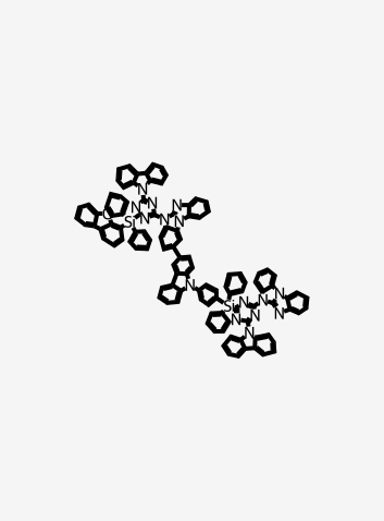 c1ccc([Si](c2ccccc2)(c2ccc(-n3c4ccccc4c4cc(-c5ccc6c(c5)n5c7ccccc7nc5n6-c5nc(-n6c7ccccc7c7ccccc76)nc([Si](c6ccccc6)(c6ccccc6)c6cccc7c6oc6ccccc67)n5)ccc43)cc2)c2nc(-n3c4ccccc4c4ccccc43)nc(-n3c4ccccc4n4c5ccccc5nc34)n2)cc1